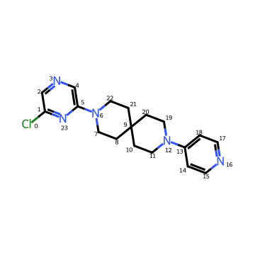 Clc1cncc(N2CCC3(CCN(c4ccncc4)CC3)CC2)n1